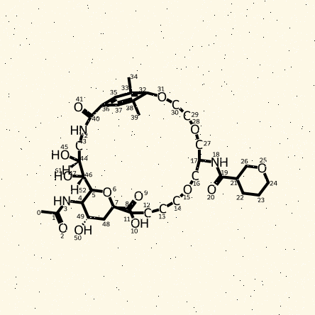 CC(=O)NC1C2O[C@](C(=O)O)(CCCCOCC(NC(=O)C3CCCOC3)COCCOc3c(C)cc(cc3C)C(=O)NC[C@@H](O)[C@H]2O)C[C@@H]1O